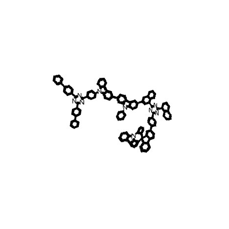 c1ccc(-c2ccc(-c3nc(-c4ccc(-c5ccccc5)cc4)nc(-c4ccc(-n5c6ccccc6c6cc(-c7ccc8c9cc(-c%10cc(-c%11nc(-c%12ccc(-c%13ccc%14c(c%13)C%13(c%15ccccc%15-%14)c%14ccccc%14-n%14c%15ccccc%15c%15cccc%13c%15%14)cc%12)nc(-c%12cccc%13ccccc%12%13)n%11)c%11ccccc%11c%10)ccc9n(-c9ccccc9)c8c7)ccc65)cc4)n3)cc2)cc1